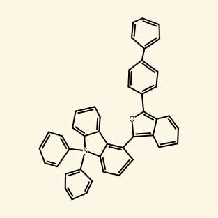 c1ccc(-c2ccc(-c3oc(-c4cccc5c4-c4ccccc4S5(c4ccccc4)c4ccccc4)c4ccccc34)cc2)cc1